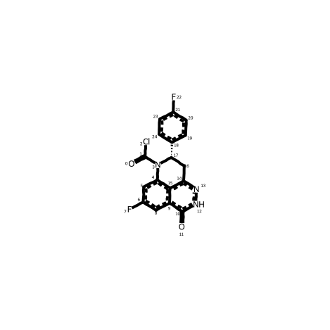 O=C(Cl)N1c2cc(F)cc3c(=O)[nH]nc(c23)C[C@H]1c1ccc(F)cc1